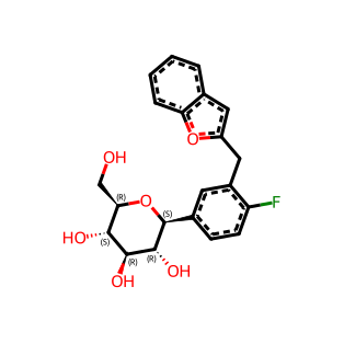 OC[C@H]1O[C@@H](c2ccc(F)c(Cc3cc4ccccc4o3)c2)[C@H](O)[C@@H](O)[C@@H]1O